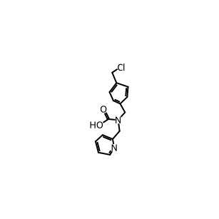 O=C(O)N(Cc1ccc(CCl)cc1)Cc1ccccn1